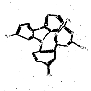 Cc1ccc2c3ccccc3n(-c3ccc(C#N)cc3-c3nc(C)nc(C)n3)c2c1